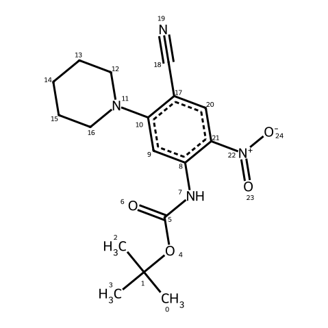 CC(C)(C)OC(=O)Nc1cc(N2CCCCC2)c(C#N)cc1[N+](=O)[O-]